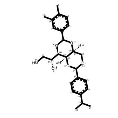 Cc1ccc(C2O[C@H]([C@H](O)CO)[C@@H]3OC(c4ccc(C(C)C)cc4)OC[C@@H]3O2)cc1C